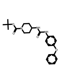 CC(C)(C)OC(=O)N1CCC(NC(=O)Nc2ccc(Oc3ccccc3)cc2)CC1